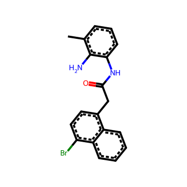 Cc1cccc(NC(=O)Cc2ccc(Br)c3ccccc23)c1N